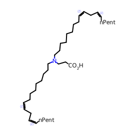 CCCCC/C=C\C/C=C\CCCCCCCCN(CCCCCCCC/C=C\C/C=C\CCCCC)CCC(=O)O